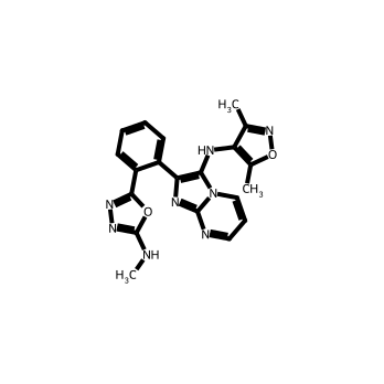 CNc1nnc(-c2ccccc2-c2nc3ncccn3c2Nc2c(C)noc2C)o1